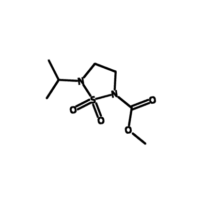 COC(=O)N1CCN(C(C)C)S1(=O)=O